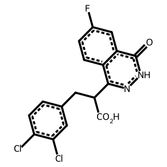 O=C(O)C(Cc1ccc(Cl)c(Cl)c1)c1n[nH]c(=O)c2cc(F)ccc12